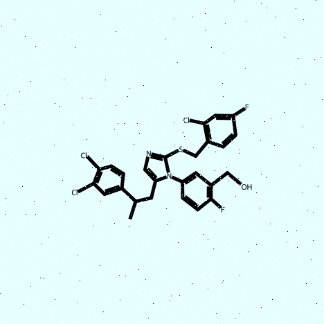 CC(Cc1cnc(SCc2ccc(F)cc2Cl)n1-c1ccc(F)c(CO)c1)c1ccc(Cl)c(Cl)c1